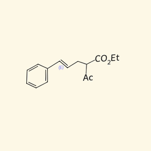 CCOC(=O)C(C/C=C/c1ccccc1)C(C)=O